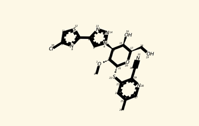 CO[C@@H]1[C@@H](n2cc(-c3nc(Cl)cs3)nn2)[C@@H](O)[C@@H](CO)O[C@@H]1Sc1cc(C)cnc1C#N